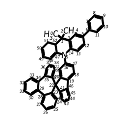 CC1(C)c2cc(-c3ccccc3)ccc2N(c2ccc3c(c2)C2(c4ccccc4-c4ccccc4-c4ccccc42)c2ccccc2-3)C2=CC=CCC21